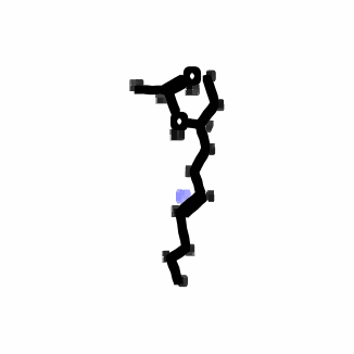 CCC/C=C/CCC(CC)OC(C)=O